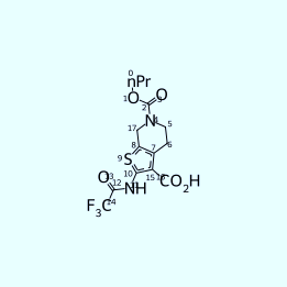 CCCOC(=O)N1CCc2c(sc(NC(=O)C(F)(F)F)c2C(=O)O)C1